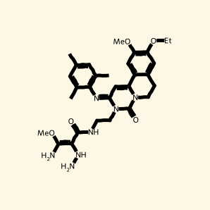 CCOc1cc2c(cc1OC)-c1c/c(=N\c3c(C)cc(C)cc3C)n(CCNC(=O)/C(NN)=C(/N)OC)c(=O)n1CC2